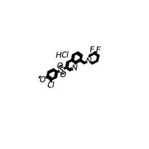 COc1ccc(S(=O)(=O)c2cnc3c(CN4CCCC(F)(F)C4)cccc3c2)cc1Cl.Cl